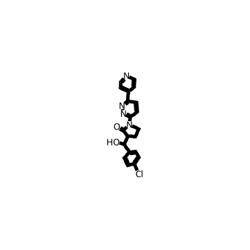 O=C1C(C(O)c2ccc(Cl)cc2)CCN1c1ccc(-c2ccncc2)nn1